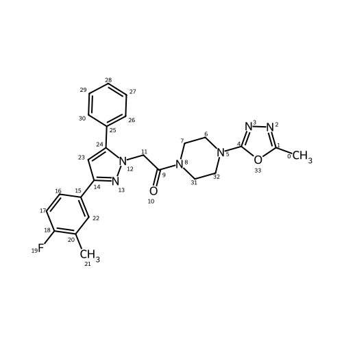 Cc1nnc(N2CCN(C(=O)Cn3nc(-c4ccc(F)c(C)c4)cc3-c3ccccc3)CC2)o1